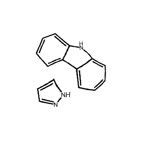 c1ccc2c(c1)[nH]c1ccccc12.c1cn[nH]c1